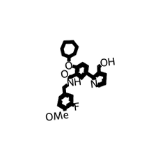 COc1ccc(CNC(=O)c2cc(-c3ncccc3CO)ccc2OC2CCCCCC2)cc1F